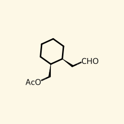 CC(=O)OC[C@H]1CCCC[C@H]1CC=O